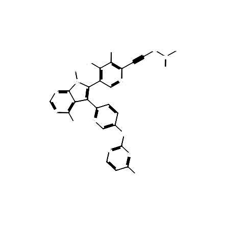 Cc1ccnc(Oc2ccc(-c3c(-c4cnc(C#CSP(I)I)c(F)c4C)n(C)c4ncnc(C)c34)nc2)n1